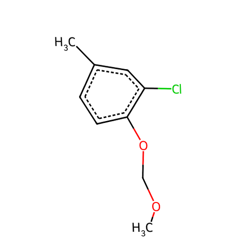 COCOc1ccc(C)cc1Cl